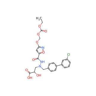 CCOC(=O)OCOc1cc(C(=O)NN(Cc2ccc(-c3cccc(Cl)c3)cc2)CC(O)C(=O)O)on1